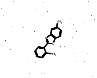 Nc1ccc2oc(-c3ccccc3N)nc2c1